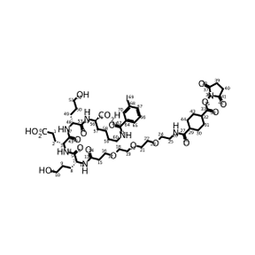 O=C(O)CC[C@@H](NC(=O)[C@@H](CCCO)NC(=O)CCOCCOCCOCCNC(=O)C1CCC(C(=O)ON2C(=O)CCC2=O)CC1)C(=O)N[C@H](CCCO)C(=O)N[C@H](CCCCNC(=O)c1cccc(I)c1)C(=O)O